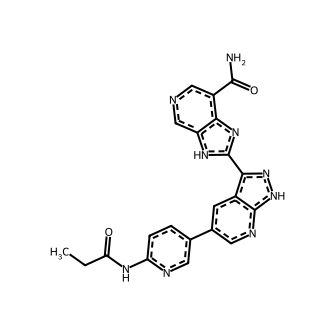 CCC(=O)Nc1ccc(-c2cnc3[nH]nc(-c4nc5c(C(N)=O)cncc5[nH]4)c3c2)cn1